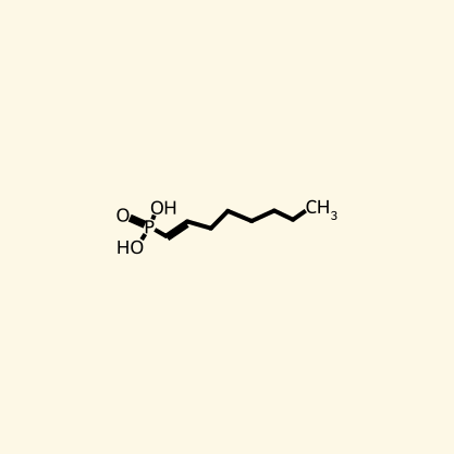 CCCCCCC=CP(=O)(O)O